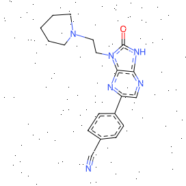 N#Cc1ccc(-c2cnc3[nH]c(=O)n(CCN4CCCCC4)c3n2)cc1